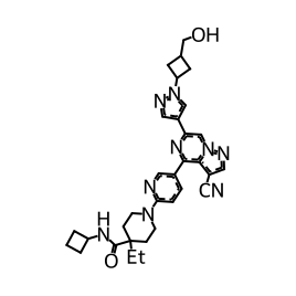 CCC1(C(=O)NC2CCC2)CCN(c2ccc(-c3nc(-c4cnn(C5CC(CO)C5)c4)cn4ncc(C#N)c34)cn2)CC1